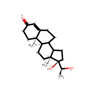 C[C@H](O)[C@@]1(O)CCC2C3CCC4=CC(=O)CC[C@]4(C)C3CC[C@@]21C